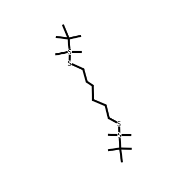 CC(C)(C)S(C)(C)SCCCCCCSS(C)(C)C(C)(C)C